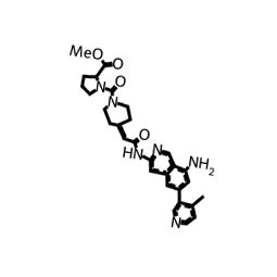 COC(=O)C1CCCN1C(=O)N1CCC(=CC(=O)Nc2cc3cc(-c4cnccc4C)cc(N)c3cn2)CC1